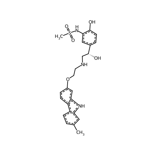 Cc1ccc2c(c1)[nH]c1cc(OCCNC[C@@H](O)c3ccc(O)c(NS(C)(=O)=O)c3)ccc12